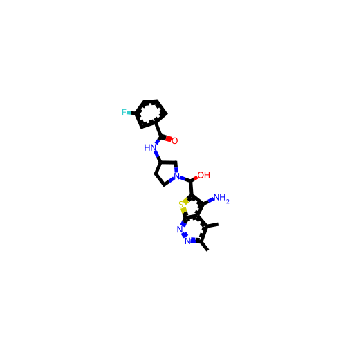 Cc1nnc2sc(C(O)N3CCC(NC(=O)c4cccc(F)c4)C3)c(N)c2c1C